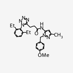 CCc1cccc(CC)c1-n1nnnc1CCC(=O)Nc1cc(C)nn1Cc1ccc(OC)cc1